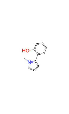 Cn1cccc1-c1ccccc1O